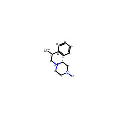 CCC(CN1CCN(C)CC1)c1ccccc1